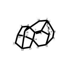 C1CC23CCC4C2=C2C5CC6CC(CC2(CC14)S6)C5C3